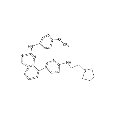 FC(F)(F)Oc1ccc(Nc2ncc3cccc(-c4ccc(NCCN5CCCC5)nc4)c3n2)cc1